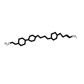 C/C=C/CCC1CCC(CCCCC2CCC(C3CCC(CCC)CC3)CC2)CC1